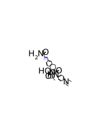 CCN(CC)c1ccc(NC(=O)[C@]2(N(CC(C)C)C(=O)O)CCc3cc(/C=C/C(N)=O)ccc3C2)cc1